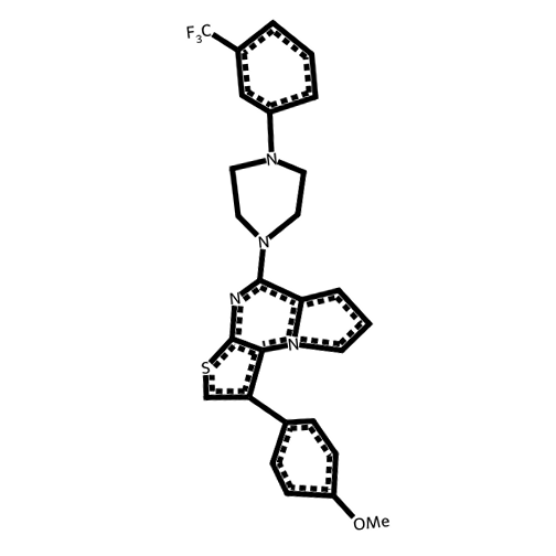 COc1ccc(-c2csc3nc(N4CCN(c5cccc(C(F)(F)F)c5)CC4)c4cccn4c23)cc1